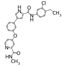 CCc1ccc(NC(=O)c2cc(-c3cccc(Oc4ccnc(C(=O)NC)c4)c3)c[nH]2)cc1Cl